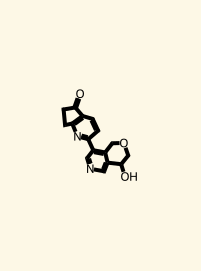 O=C1CCc2nc(-c3cncc4c3COCC4O)ccc21